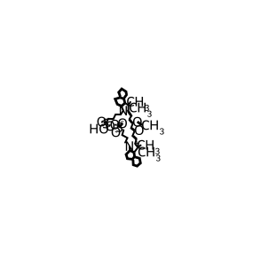 CC(=O)OC(C=CC1=[N+](CCCCS(=O)(=O)[O-])c2ccc3ccccc3c2C1(C)C)=CC=CC=C1N(CCCCS(=O)(=O)O)c2ccc3ccccc3c2C1(C)C